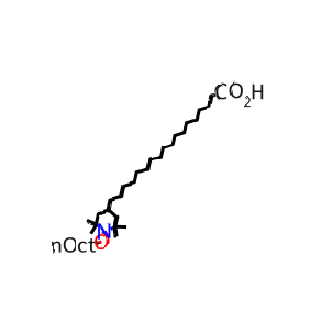 CCCCCCCCON1C(C)(C)CC(CCCCCCCCCCCCCCCCCC(=O)O)CC1(C)C